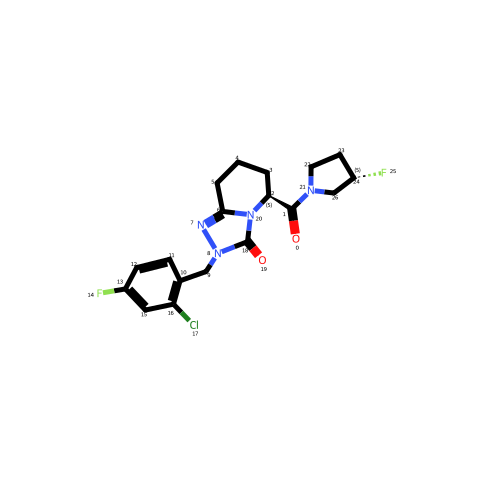 O=C([C@@H]1CCCc2nn(Cc3ccc(F)cc3Cl)c(=O)n21)N1CC[C@H](F)C1